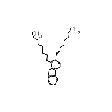 CCCCCC/C=C/c1ccc2c(c1/C=C/CCCCCC)Cc1ccccc1-2